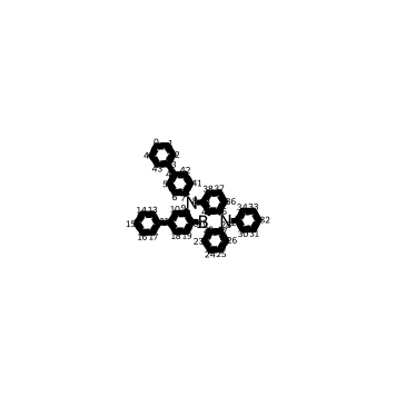 c1ccc(-c2ccc(N3c4cc(-c5ccccc5)ccc4B4c5ccccc5N(c5ccccc5)c5cccc3c54)cc2)cc1